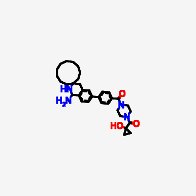 NC1NC2(CCCCCCCCCC2)Cc2cc(-c3ccc(C(=O)N4CCN(C(=O)C5(O)CC5)CC4)cc3)ccc21